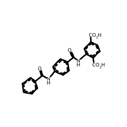 O=C(O)c1ccc(C(=O)O)c(NC(=O)c2ccc(NC(=O)c3ccccc3)cc2)c1